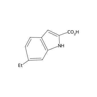 CCc1ccc2cc(C(=O)O)[nH]c2c1